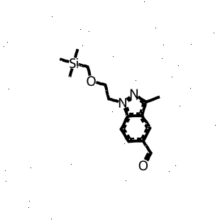 Cc1nn(CCOC[Si](C)(C)C)c2ccc(C=O)cc12